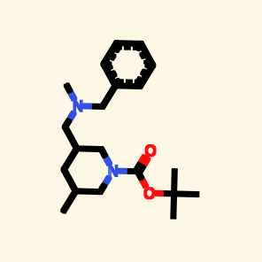 CC1CC(CN(C)Cc2ccccc2)CN(C(=O)OC(C)(C)C)C1